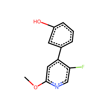 COc1cc(-c2cccc(O)c2)c(F)cn1